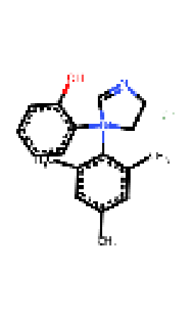 Cc1cc(C)c([N+]2(c3ccccc3O)C=NCC2)c(C)c1.[Cl-]